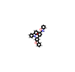 c1ccc2oc(-c3ccc(-c4cc5c(cc4-n4c6ccccc6c6ccccc64)oc4ccccc45)cc3)nc2c1